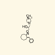 CN1CCN(C[C@H](O)CO/N=C2\CCCCCC\C2=C/c2ccccc2)CC1